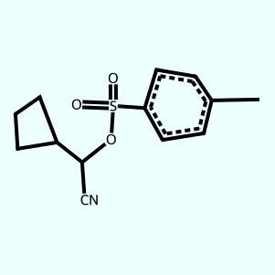 Cc1ccc(S(=O)(=O)OC(C#N)C2CCC2)cc1